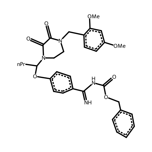 CCCC(Oc1ccc(C(=N)NC(=O)OCc2ccccc2)cc1)N1CCN(Cc2ccc(OC)cc2OC)C(=O)C1=O